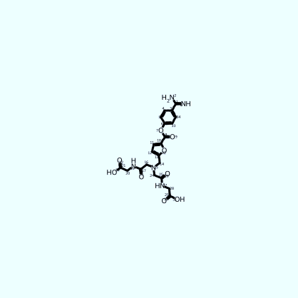 N=C(N)c1ccc(OC(=O)c2ccc(CN(CC(=O)NCC(=O)O)CC(=O)NCC(=O)O)o2)cc1